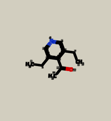 CCc1cncc(CC)c1C(C)=O